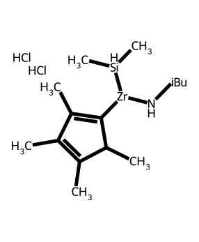 CCC(C)[NH][Zr]([C]1=C(C)C(C)=C(C)C1C)[SiH](C)C.Cl.Cl